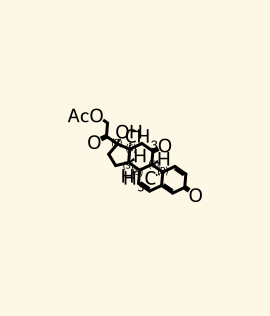 CC(=O)OCC(=O)[C@@]1(O)CC[C@H]2[C@@H]3C=CC4=CC(=O)C=C[C@]4(C)[C@H]3C(=O)C[C@@]21C